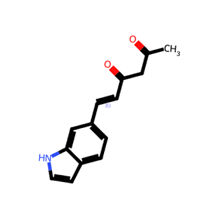 CC(=O)CC(=O)/C=C/c1ccc2cc[nH]c2c1